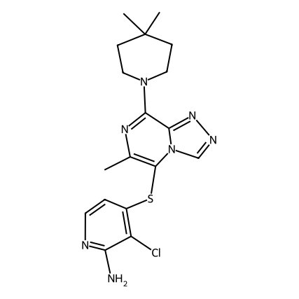 Cc1nc(N2CCC(C)(C)CC2)c2nncn2c1Sc1ccnc(N)c1Cl